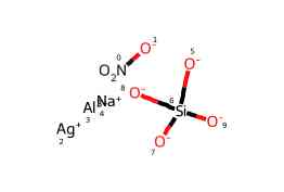 O=[N+]([O-])[O-].[Ag+].[Al+3].[Na+].[O-][Si]([O-])([O-])[O-]